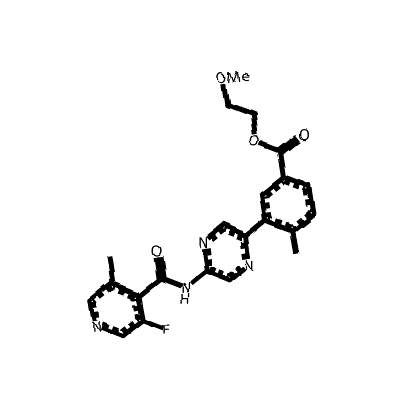 COCCOC(=O)c1ccc(C)c(-c2cnc(NC(=O)c3c(C)cncc3F)cn2)c1